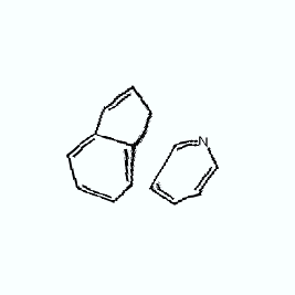 C1=Cc2ccccc2C1.c1ccncc1